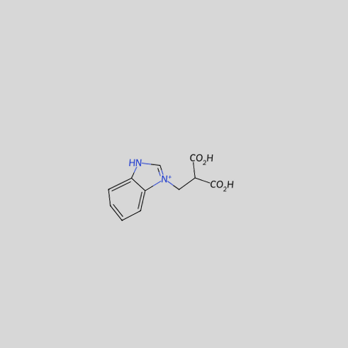 O=C(O)C(C[n+]1c[nH]c2ccccc21)C(=O)O